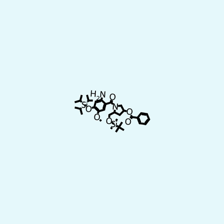 COc1cc(C(=O)N2CC(OC(=O)c3ccccc3)CC2CO[Si](C)(C)C(C)(C)C)c(N)cc1O[Si](C(C)C)(C(C)C)C(C)C